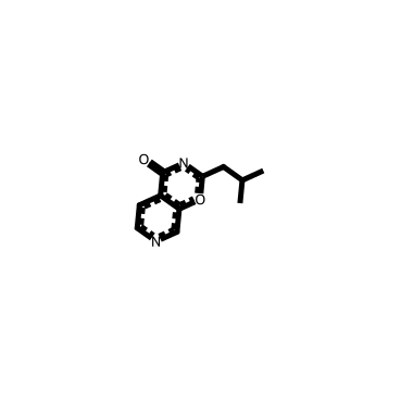 CC(C)Cc1nc(=O)c2ccncc2o1